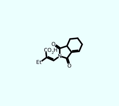 CCC(=CN1C(=O)C2=CCCCC2C1=O)C(=O)O